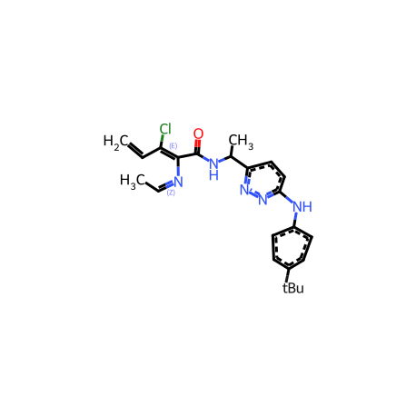 C=C/C(Cl)=C(\N=C/C)C(=O)NC(C)c1ccc(Nc2ccc(C(C)(C)C)cc2)nn1